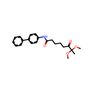 COC(C)(OC)C(=O)CCCCC(=O)Nc1ccc(-c2ccccc2)cc1